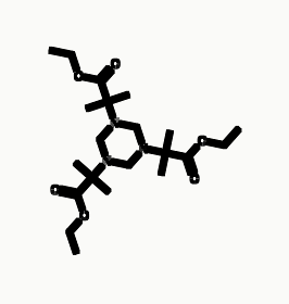 CCOC(=O)C(C)(C)N1CN(C(C)(C)C(=O)OCC)CN(C(C)(C)C(=O)OCC)C1